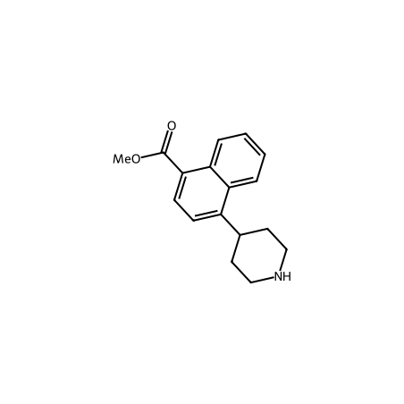 COC(=O)c1ccc(C2CCNCC2)c2ccccc12